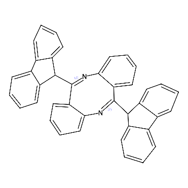 c1ccc2c(c1)/N=C(/C1c3ccccc3-c3ccccc31)c1ccccc1/N=C\2C1c2ccccc2-c2ccccc21